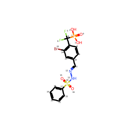 O=P(O)(O)C(F)(F)c1ccc(C=NNS(=O)(=O)c2ccccc2)cc1Br